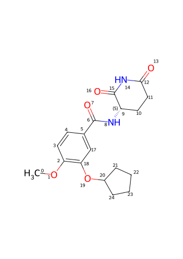 COc1ccc(C(=O)N[C@H]2CCC(=O)NC2=O)cc1OC1CCCC1